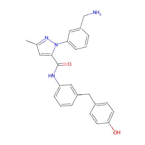 Cc1cc(C(=O)Nc2cccc(Cc3ccc(O)cc3)c2)n(-c2cccc(CN)c2)n1